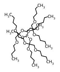 CCCCOCC(OCCCC)(OCCCC)OP(OC(COCCCC)(OCCCC)OCCCC)OC(COCCCC)(OCCCC)OCCCC